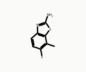 Cc1c(F)ccc2nc(N)sc12